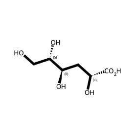 O=C(O)[C@H](O)C[C@@H](O)[C@@H](O)CO